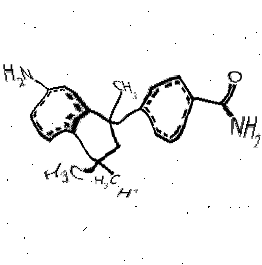 CC1(C)CC(C)(c2ccc(C(N)=O)cc2)c2cc(N)ccc21.[H+]